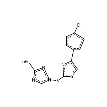 CCCc1ncn(Sc2nc(-c3ccc(Cl)cc3)cs2)n1